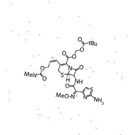 CNC(=O)OC/C=C\C1=C(C(=O)OCOC(=O)C(C)(C)C)N2C(=O)C(NC(=O)/C(=N\OC)c3csc(N)n3)[C@H]2SC1